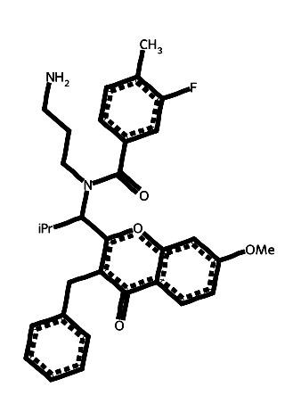 COc1ccc2c(=O)c(Cc3ccccc3)c(C(C(C)C)N(CCCN)C(=O)c3ccc(C)c(F)c3)oc2c1